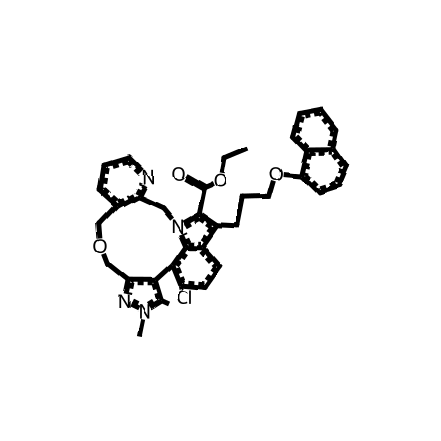 CCOC(=O)c1c(CCCOc2cccc3ccccc23)c2ccc(Cl)c3c2n1Cc1ncccc1COCc1nn(C)c(C)c1-3